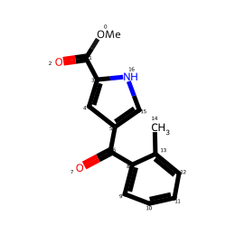 COC(=O)c1cc(C(=O)c2ccccc2C)c[nH]1